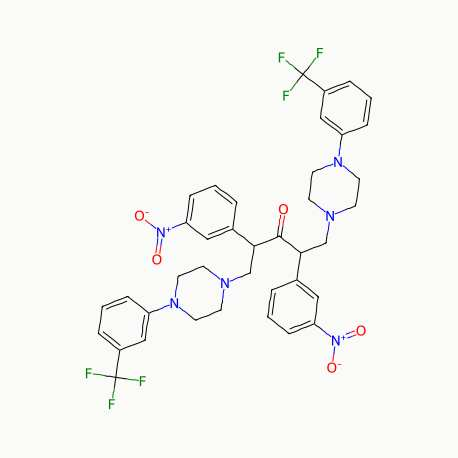 O=C(C(CN1CCN(c2cccc(C(F)(F)F)c2)CC1)c1cccc([N+](=O)[O-])c1)C(CN1CCN(c2cccc(C(F)(F)F)c2)CC1)c1cccc([N+](=O)[O-])c1